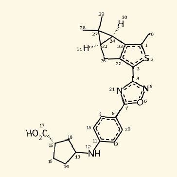 Cc1sc(-c2noc(-c3ccc(NC4CC[C@H](C(=O)O)C4)cc3)n2)c2c1[C@H]1[C@@H](C2)C1(C)C